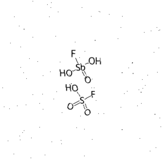 O=S(=O)(O)F.[O]=[Sb]([OH])([OH])[F]